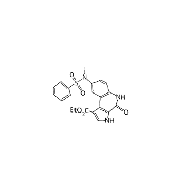 CCOC(=O)c1c[nH]c2c(=O)[nH]c3ccc(N(C)S(=O)(=O)c4ccccc4)cc3c12